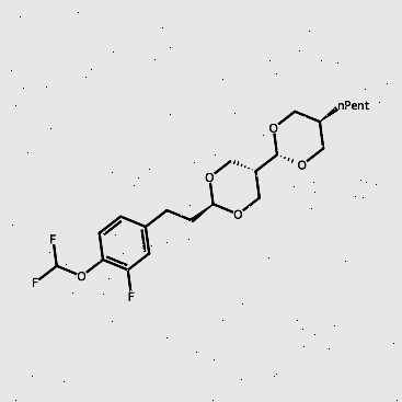 CCCCC[C@H]1CO[C@H]([C@H]2CO[C@H](CCc3ccc(OC(F)F)c(F)c3)OC2)OC1